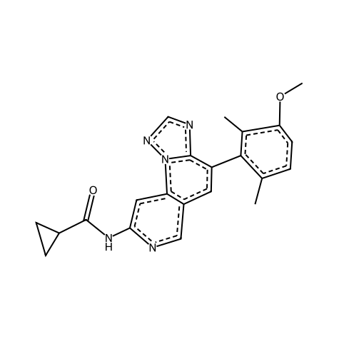 COc1ccc(C)c(-c2cc3cnc(NC(=O)C4CC4)cc3n3ncnc23)c1C